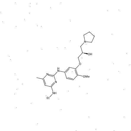 CCNc1cc(C)nc(Nc2ccc(OC)c(OC[C@H](O)CN3CCCC3)c2)n1